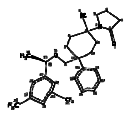 CC(=O)C1(N2CCCC2=O)CCC(CO[C@H](C)c2cc(C(F)(F)F)cc(C(F)(F)F)c2)(c2ccccc2)CC1